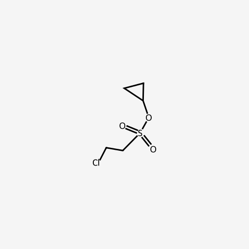 O=S(=O)(CCCl)OC1CC1